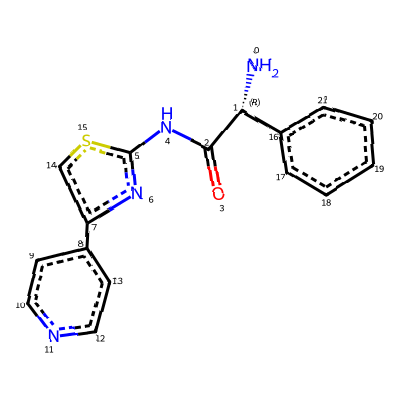 N[C@@H](C(=O)Nc1nc(-c2ccncc2)cs1)c1ccccc1